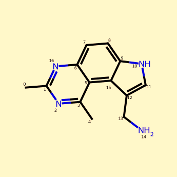 Cc1nc(C)c2c(ccc3[nH]cc(CN)c32)n1